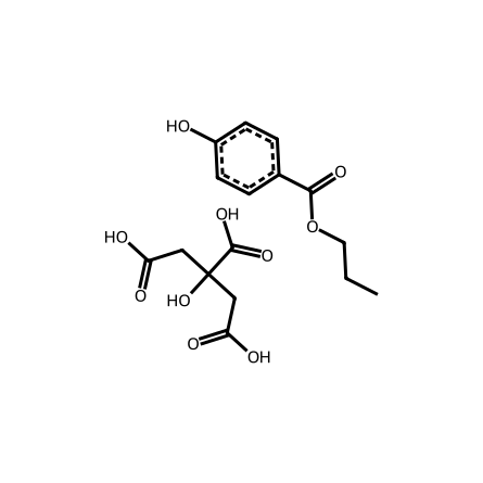 CCCOC(=O)c1ccc(O)cc1.O=C(O)CC(O)(CC(=O)O)C(=O)O